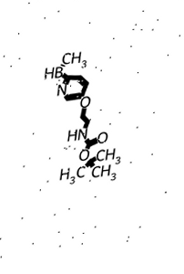 CBc1ccc(OCCNC(=O)OC(C)(C)C)cn1